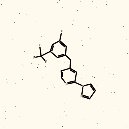 Fc1cc(Cc2ccnc(-n3cccn3)c2)cc(C(F)(F)F)c1